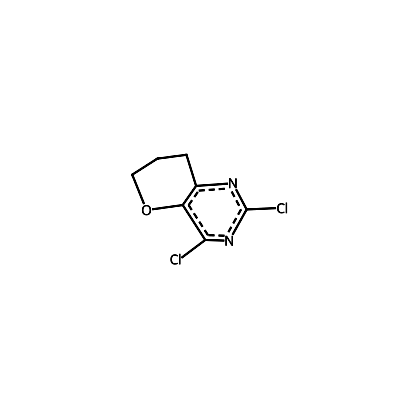 Clc1nc(Cl)c2c(n1)CCCO2